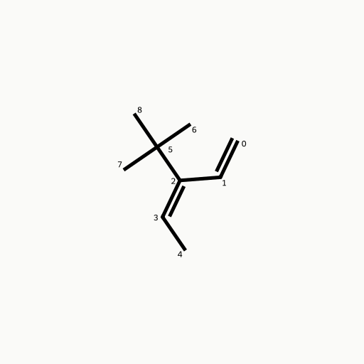 C=C/C(=C\C)C(C)(C)C